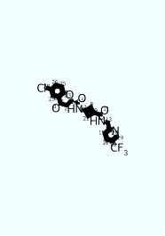 O=C1C[C@H](C(=O)NC23CC(C(=O)NCc4ccc(C(F)(F)F)cn4)(C2)C3)Oc2ccc(Cl)cc21